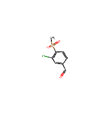 CS(=O)(=O)c1ccc(C=O)cc1Cl